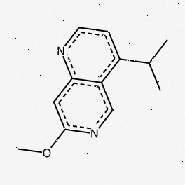 COc1cc2nccc(C(C)C)c2cn1